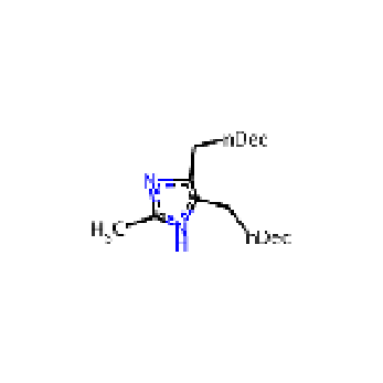 CCCCCCCCCCCc1nc(C)[nH]c1CCCCCCCCCCC